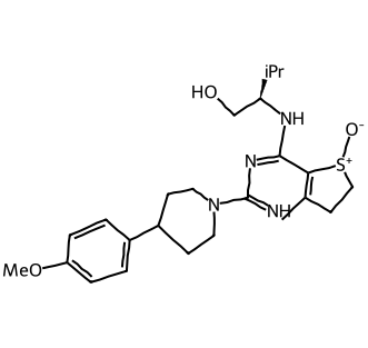 COc1ccc(C2CCN(C(=N)/N=C(/N[C@@H](CO)C(C)C)C3=C(C)CC[S+]3[O-])CC2)cc1